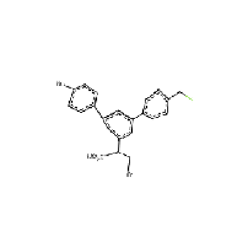 CC(C)CC(C(=O)O)c1cc(-c2ccc(C#N)cc2)cc(-c2ccc(CF)cc2)c1